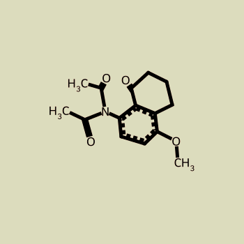 COc1ccc(N(C(C)=O)C(C)=O)c2c1CCCC2=O